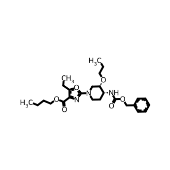 CCCCOC(=O)c1nc(N2CC[C@@H](NC(=O)OCc3ccccc3)[C@@H](OCCC)C2)oc1CC